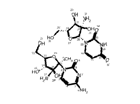 C[C@@]1(n2ccc(N)nc2=O)O[C@H](CO)[C@@H](O)[C@@]1(N)O.N[C@@]1(O)[C@H](O)[C@@H](CO)O[C@H]1n1ccc(=O)[nH]c1=O